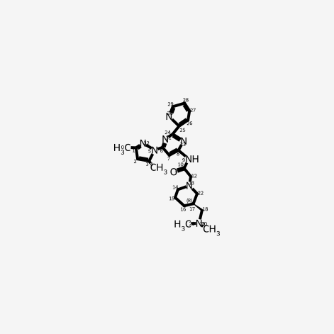 Cc1cc(C)n(-c2cc(NC(=O)CN3CCC[C@H](CN(C)C)C3)nc(-c3ccccn3)n2)n1